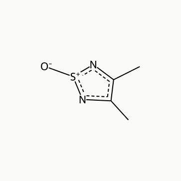 Cc1n[s+]([O-])nc1C